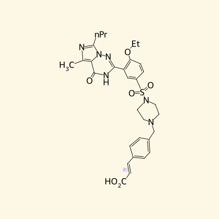 CCCc1nc(C)c2c(=O)[nH]c(-c3cc(S(=O)(=O)N4CCN(Cc5ccc(/C=C/C(=O)O)cc5)CC4)ccc3OCC)nn12